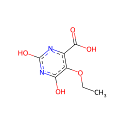 CCOc1c(O)nc(O)nc1C(=O)O